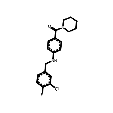 O=C(c1ccc(NCc2ccc(F)c(Cl)c2)cc1)N1CCCCC1